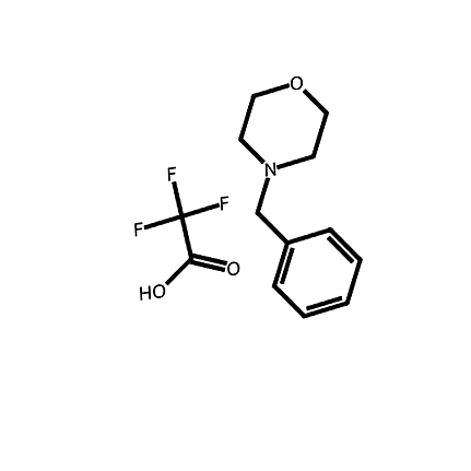 O=C(O)C(F)(F)F.c1ccc(CN2CCOCC2)cc1